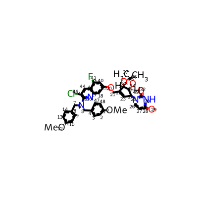 COc1ccc(CN(Cc2ccc(OC)cc2)c2nc3cc(OCC4=C[C@@H](n5ccc(=O)[nH]c5=O)[C@@H]5OC(C)(C)O[C@H]45)cc(F)c3cc2Cl)cc1